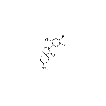 N[C@H]1CC[C@@]2(CCN(c3cc(F)c(F)cc3Cl)C2=O)CC1